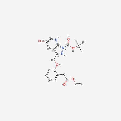 CCOC(=O)Cc1ccccc1OCc1nn(C(=O)OC(C)(C)C)c2ncc(Br)cc12